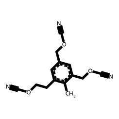 Cc1c(CCOC#N)cc(COC#N)cc1COC#N